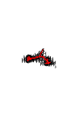 CO[C@H]1C(COS(=O)(=O)O)O[C@@H](O[C@H]2C(C(O)O)O[C@@H](OCC(O)[C@@H](O)[C@@H](O)C(O)CNc3ccc(C(=O)NCCN(CCNC(=O)c4ccc(NCC(O)[C@H](O)[C@H](O)C(O)CO[C@@H]5OC(C(O)O)[C@H](O[C@@H]6OC(COS(=O)(=O)O)[C@H](OC)[C@@H](O)C6NS(=O)(=O)O)[C@@H](O)C5OS(=O)(=O)O)cc4)C(=O)CNC(=O)CNC(=O)CCCCC4CCSS4)cc3)C(OS(=O)(=O)O)[C@@H]2O)C(NS(=O)(=O)O)[C@@H]1O